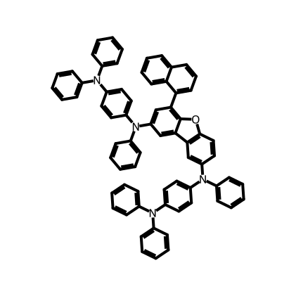 c1ccc(N(c2ccccc2)c2ccc(N(c3ccccc3)c3ccc4oc5c(-c6cccc7ccccc67)cc(N(c6ccccc6)c6ccc(N(c7ccccc7)c7ccccc7)cc6)cc5c4c3)cc2)cc1